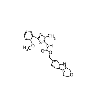 COc1ccccc1-c1nc(C)c(NC(=O)OCc2ccc3c(c2)nc2n3CCOC2)s1